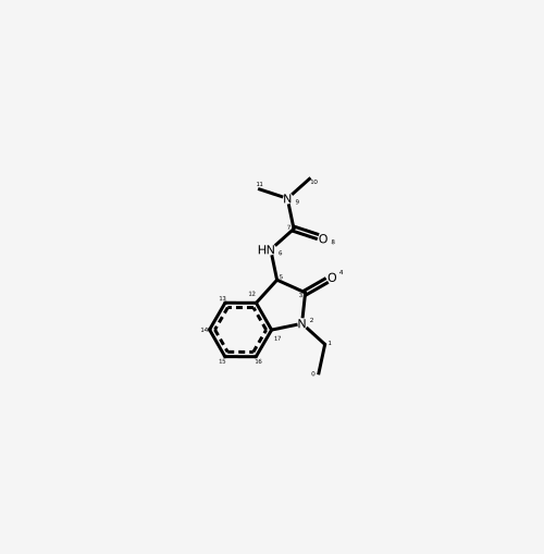 CCN1C(=O)C(NC(=O)N(C)C)c2ccccc21